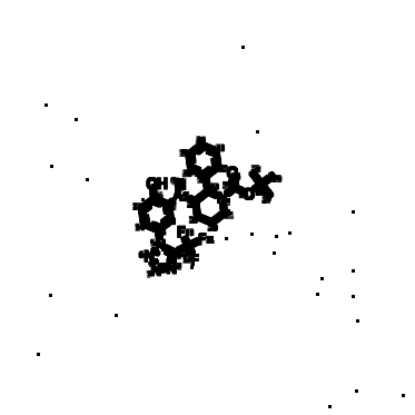 C=[AsH](c1cc(-n2nnnc2C(F)(F)F)ccc1O)C1CCCN(C(=O)OC(C)(C)C)C1c1ccccc1